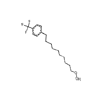 OOCCCCCCCCCCc1ccc(C(F)(F)F)cc1